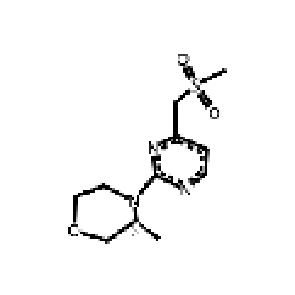 C[C@H]1COCCN1c1nccc(CS(C)(=O)=O)n1